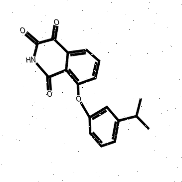 CC(C)c1cccc(Oc2cccc3c2C(=O)NC(=O)C3=O)c1